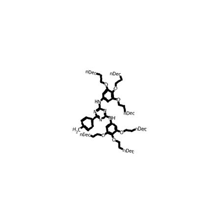 [CH2]c1ccc(-c2nc(Nc3cc(OCCCCCCCCCCCC)c(OCCCCCCCCCCCC)c(OCCCCCCCCCCCC)c3)nc(Nc3cc(OCCCCCCCCCCCC)c(OCCCCCCCCCCCC)c(OCCCCCCCCCCCC)c3)n2)cc1